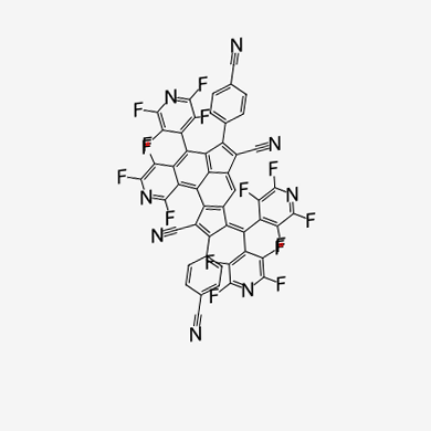 N#Cc1ccc(-c2c(C#N)c3c(cc4c(C#N)c(-c5ccc(C#N)cc5)c5c(-c6c(F)c(F)nc(F)c6F)c6c(F)c(F)nc(F)c6c3c45)c2=C(c2c(F)c(F)nc(F)c2F)c2c(F)c(F)nc(F)c2F)cc1